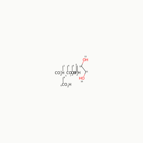 C=C.CC(=O)O.CC(=O)O.CC(=O)O.CC(=O)O.OCCO